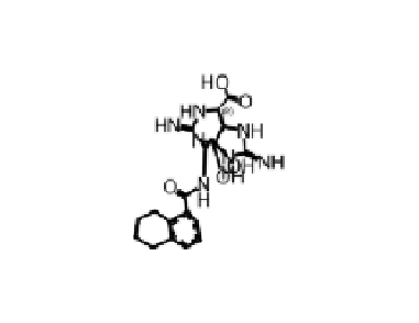 N=C1NC2[C@H](C(=O)O)NC(=N)N3CC(NC(=O)c4cccc5c4CCCC5)C(O)(O)C23N1